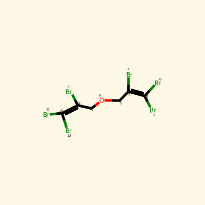 BrC(Br)=C(Br)COCC(Br)=C(Br)Br